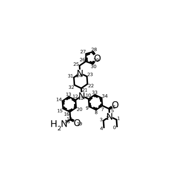 CCN(CC)C(=O)c1ccc(N(c2cccc(C(N)=O)c2)C2CCN(Cc3ccoc3)CC2)cc1